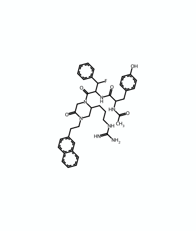 CC(=O)NC(Cc1ccc(O)cc1)C(=O)NC(C(=O)N1CC(=O)N(CCc2ccc3ccccc3c2)CC1CCCNC(=N)N)C(F)c1ccccc1